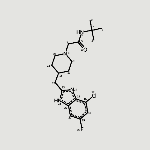 CC(C)(C)NC(=O)CN1CCC(Cc2nc3c(Cl)cc(F)cc3[nH]2)CC1